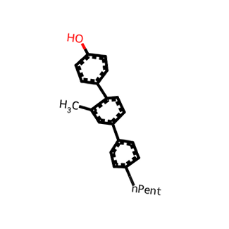 CCCCCc1ccc(-c2ccc(-c3ccc(O)cc3)c(C)c2)cc1